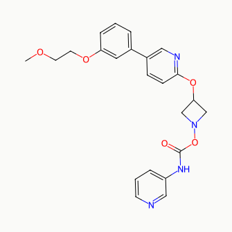 COCCOc1cccc(-c2ccc(OC3CN(OC(=O)Nc4cccnc4)C3)nc2)c1